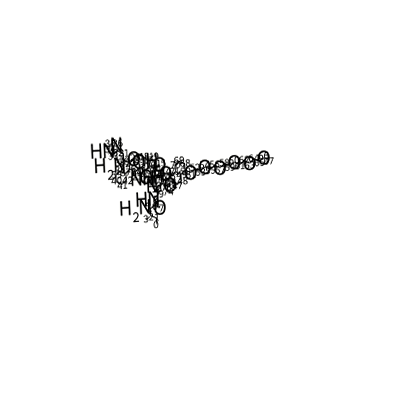 CC[C@@H](C)[C@H](N)C(=O)NCc1ncc(C(=O)C(C(C)C)C(O)C(O)C(N)C(C(=O)[C@@H](N)Cc2c[nH]cn2)C2CCCCC2)c(Oc2cccc3c(OCCOCCOCCOCCOCCOC)cccc23)c1C(C)=O